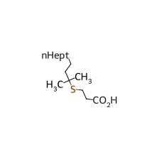 CCCCCCCCCC(C)(C)SCCC(=O)O